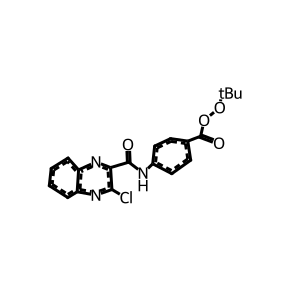 CC(C)(C)OOC(=O)c1ccc(NC(=O)c2nc3ccccc3nc2Cl)cc1